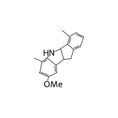 COc1cc(C)c2c(c1)C1Cc3cccc(C)c3C1N2